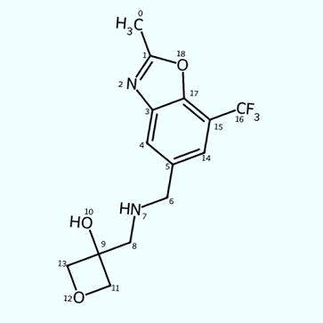 Cc1nc2cc(CNCC3(O)COC3)cc(C(F)(F)F)c2o1